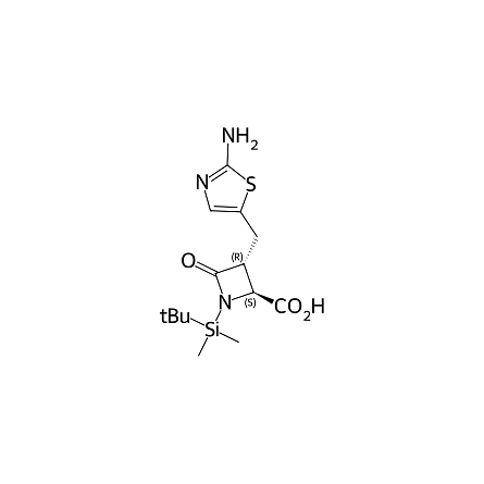 CC(C)(C)[Si](C)(C)N1C(=O)[C@H](Cc2cnc(N)s2)[C@H]1C(=O)O